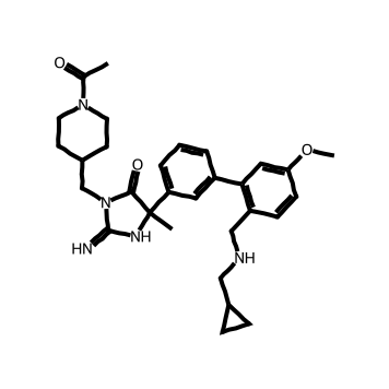 COc1ccc(CNCC2CC2)c(-c2cccc(C3(C)NC(=N)N(CC4CCN(C(C)=O)CC4)C3=O)c2)c1